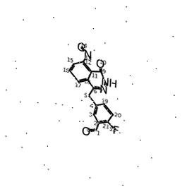 O=Cc1cc(Cc2n[nH]c(=O)c3c(N=O)cccc23)ccc1F